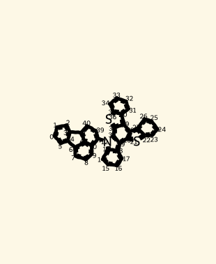 c1ccc2c(c1)-c1cccc3c(-n4c5ccccc5c5c6sc7ccccc7c6c6c7ccccc7sc6c54)ccc-2c13